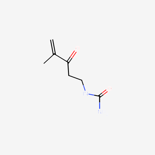 C=C(C)C(=O)CCNC(N)=O